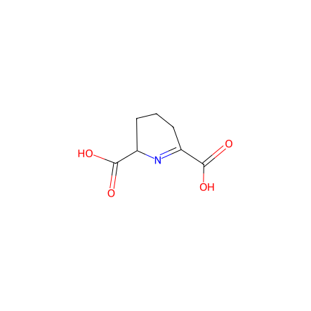 O=C(O)C1=NC(C(=O)O)CCC1